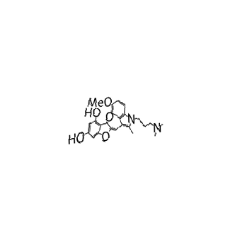 COc1ccc2c(c1)c(C=C1Oc3cc(O)cc(O)c3C1=O)c(C)n2CCCN(C)C